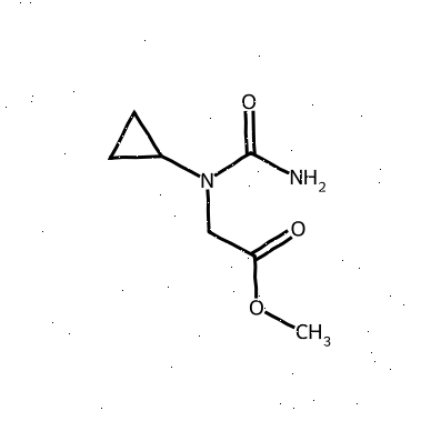 COC(=O)CN(C(N)=O)C1CC1